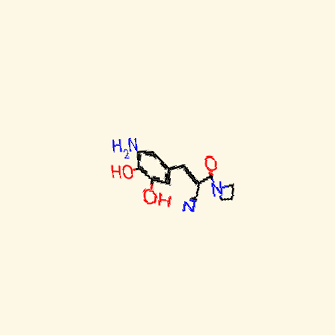 N#C/C(=C\c1cc(N)c(O)c(O)c1)C(=O)N1CCC1